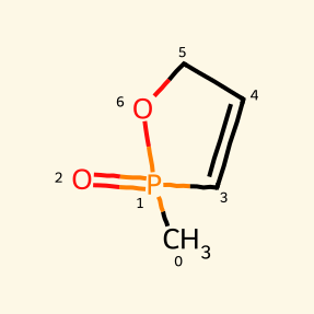 CP1(=O)C=CCO1